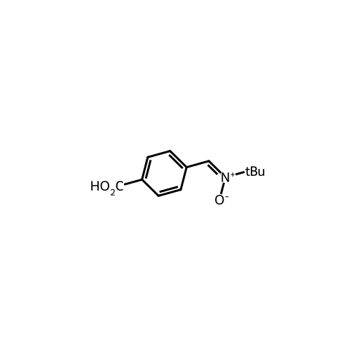 CC(C)(C)[N+]([O-])=Cc1ccc(C(=O)O)cc1